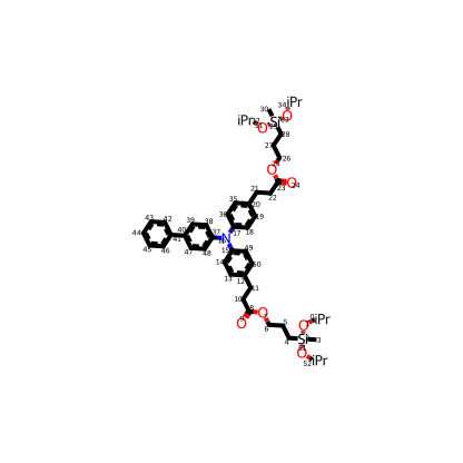 CC(C)O[Si](C)(CCCOC(=O)CCc1ccc(N(c2ccc(CCC(=O)OCCC[Si](C)(OC(C)C)OC(C)C)cc2)c2ccc(-c3ccccc3)cc2)cc1)OC(C)C